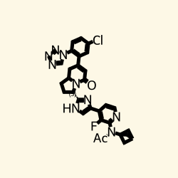 CC(=O)N(c1nccc(-c2c[nH]c([C@@H]3CCC4CC(c5cc(Cl)ccc5-n5cnnn5)=CC(=O)N43)n2)c1F)C12CC(C1)C2